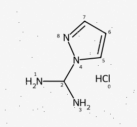 Cl.NC(N)n1cccn1